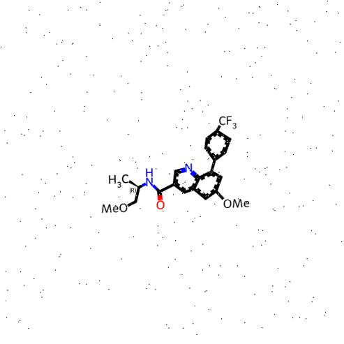 COC[C@@H](C)NC(=O)c1cnc2c(-c3ccc(C(F)(F)F)cc3)cc(OC)cc2c1